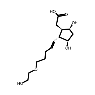 O=C(O)C[C@@H]1[C@@H](C=CCCCOCCO)[C@H](O)C[C@@H]1O